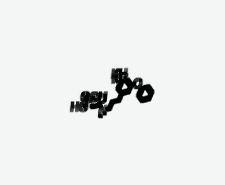 CN(CCCc1cccc(Oc2ccccc2)c1)C(=O)CP(=O)(O)O.[KH].[KH]